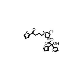 C[N+]1(CCCC(=O)c2cccs2)CC[C@@H](OC(=O)C(O)(c2cccs2)c2cccs2)C1.[Cl-]